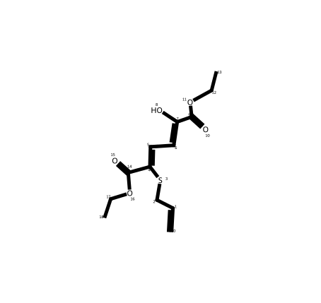 C=CCS/C(=C\C=C(/O)C(=O)OCC)C(=O)OCC